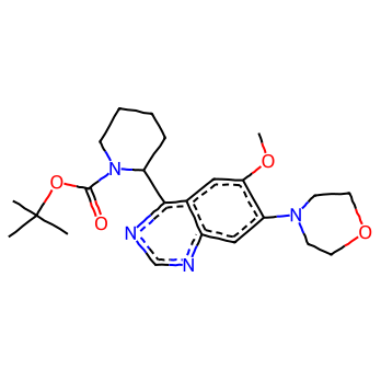 COc1cc2c(C3CCCCN3C(=O)OC(C)(C)C)ncnc2cc1N1CCOCC1